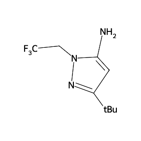 CC(C)(C)c1cc(N)n(CC(F)(F)F)n1